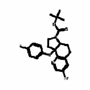 CC(C)(C)OC(=O)N1CCC2(Sc3ccc(F)cc3)c3ncc(Br)cc3CCC12